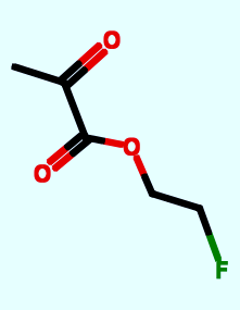 CC(=O)C(=O)OCCF